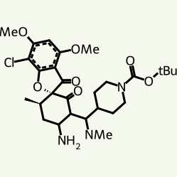 CNC(C1CCN(C(=O)OC(C)(C)C)CC1)C1C(=O)[C@@]2(Oc3c(Cl)c(OC)cc(OC)c3C2=O)[C@H](C)CC1N